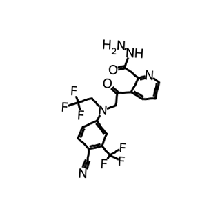 N#Cc1ccc(N(CC(=O)c2cccnc2C(=O)NN)CC(F)(F)F)cc1C(F)(F)F